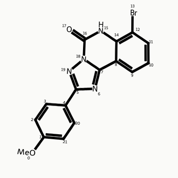 COc1ccc(-c2nc3c4cccc(Br)c4[nH]c(=O)n3n2)cc1